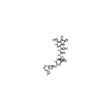 COc1ccccc1CNCc1ccc(CCNCC(O)c2ccc(O)c3[nH]c(=O)sc23)cc1.Cl.Cl